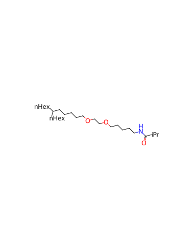 CCCCCCC(CCCCCC)CCCCCOCCOCCCCCNC(=O)C(C)C